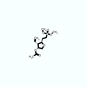 C=C[C@H]1[C@@H](OC(C)=O)CO[C@@H]1CCP(=O)(OC)OC